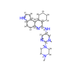 CN1CCN(c2ncc(Nc3nc4ccc5[nH]ccc5c4c4c3CCCC4)cn2)CC1